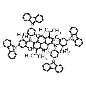 Cc1cc(-n2c3ccccc3c3ccccc32)cc(C)c1B(c1c(C)cc(-n2c3ccccc3c3ccccc32)cc1C)c1cc(C(C)C)c2ccc3c(B(c4c(C)cc(-n5c6ccccc6c6ccccc65)cc4C)c4c(C)cc(-n5c6ccccc6c6ccccc65)cc4C)cc(C(C)C)c4ccc1c2c34